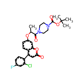 CC(Oc1ccc2c(-c3ccc(F)cc3Cl)cc(=O)oc2c1)C(=O)N1CCN(C(=O)OC(C)(C)C)CC1